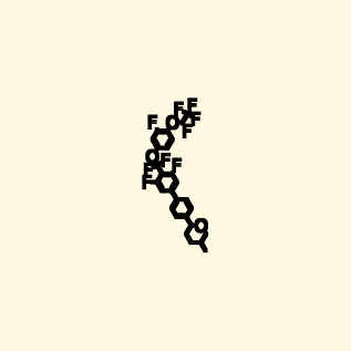 CC1CCC(c2ccc(-c3cc(F)c(C(F)(F)Oc4ccc(OC(F)C(F)(F)F)c(F)c4)c(F)c3)cc2)OC1